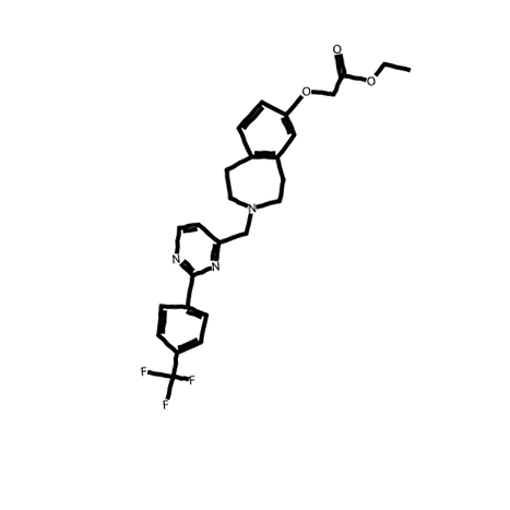 CCOC(=O)COc1ccc2c(c1)CCN(Cc1ccnc(-c3ccc(C(F)(F)F)cc3)n1)CC2